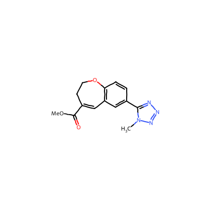 COC(=O)C1=Cc2cc(-c3nnnn3C)ccc2OCC1